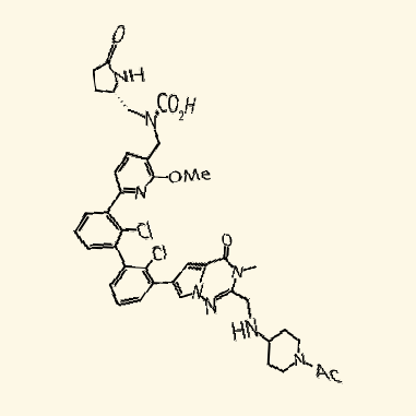 COc1nc(-c2cccc(-c3cccc(-c4cc5c(=O)n(C)c(CNC6CCN(C(C)=O)CC6)nn5c4)c3Cl)c2Cl)ccc1CN(C[C@@H]1CCC(=O)N1)C(=O)O